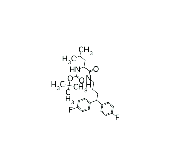 CC(C)CC(NC(=O)OC(C)(C)C)C(=O)NCCCC(c1ccc(F)cc1)c1ccc(F)cc1